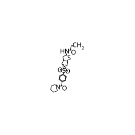 C=CC(=O)NC1CC2CN(S(=O)(=O)c3ccc(C(=O)N4CCCCC4)cc3)CC2S1